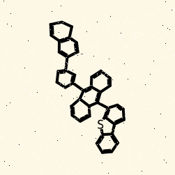 C1=CC2C(C3=CC(c4ccc5c(c4)C=CCC5)=CCC3)=c3ccccc3=C(c3cccc4c3sc3ccccc34)C2C=C1